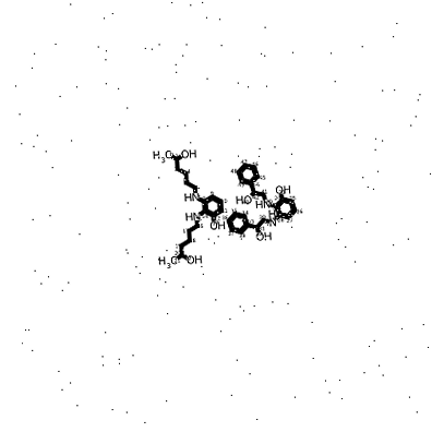 CC(O)CCCCNc1cccc(O)c1NCCCCC(C)O.Oc1cccc(NCC(O)c2ccccc2)c1NCC(O)c1ccccc1